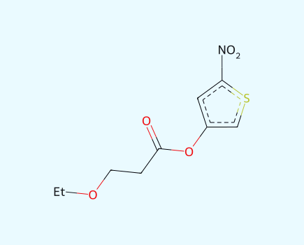 CCOCCC(=O)Oc1csc([N+](=O)[O-])c1